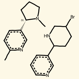 BrC1CCC(c2cccnc2)NC1.Cc1ccc([C@@H]2CCCN2C)cn1